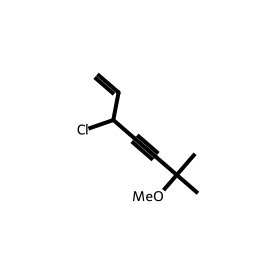 C=CC(Cl)C#CC(C)(C)OC